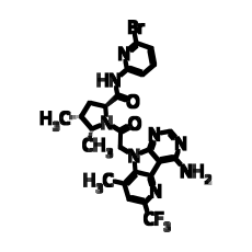 Cc1cc(C(F)(F)F)nc2c3c(N)ncnc3n(CC(=O)N3[C@H](C)[C@H](C)C[C@H]3C(=O)Nc3cccc(Br)n3)c12